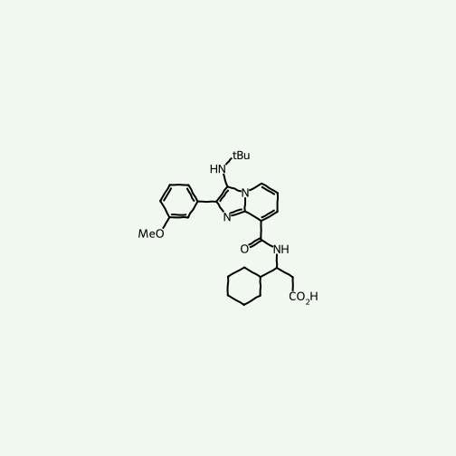 COc1cccc(-c2nc3c(C(=O)NC(CC(=O)O)C4CCCCC4)cccn3c2NC(C)(C)C)c1